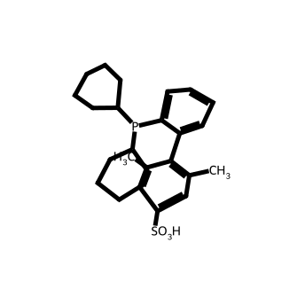 Cc1cc(S(=O)(=O)O)cc(C)c1-c1ccccc1P(C1CCCCC1)C1CCCCC1